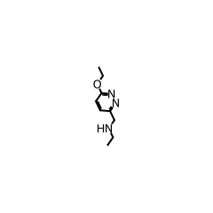 CCNCc1ccc(OCC)nn1